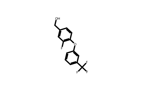 OCc1ccc(Oc2cccc(C(F)(F)F)c2)c(F)c1